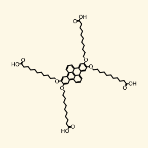 O=C(O)CCCCCCCCCCOc1cc2c(cc1OCCCCCCCCCCC(=O)O)c1cccc3c4cc(OCCCCCCCCCCC(=O)O)c(OCCCCCCCCCCC(=O)O)cc4c4cccc2c4c13